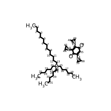 CCCCCCCCCCCCCC[PH](CCCCCC)(CCCCCC)CCCCCC.O=C1C=C(N2CC2)C(=O)C(N2CC2)=C1N1CC1